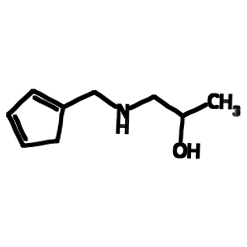 CC(O)CNCC1=CC=CC1